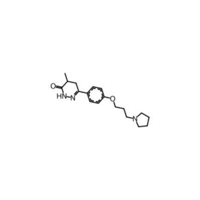 CC1CC(c2ccc(OCCCN3CCCC3)cc2)=NNC1=O